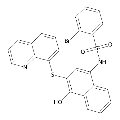 O=S(=O)(Nc1cc(Sc2cccc3cccnc23)c(O)c2ccccc12)c1ccccc1Br